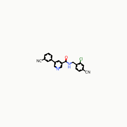 N#Cc1cccc(-c2cncc(C(=O)NCc3ccc(C#N)cc3Cl)c2)c1